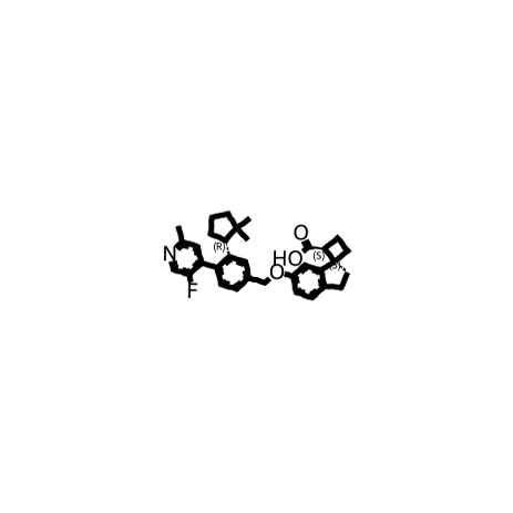 Cc1cc(-c2ccc(COc3ccc4c(c3)[C@]3(CC4)CC[C@@H]3C(=O)O)cc2[C@@H]2CCCC2(C)C)c(F)cn1